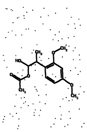 COc1ccc(C(C)C(O)OC(C)=O)c(OC)c1